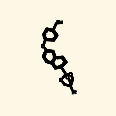 CCC(C)c1ccc(Oc2ccc3cc(C45OCC(CC)(CO4)CO5)ccc3c2)cc1